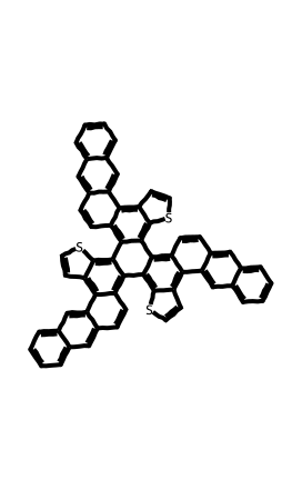 c1ccc2cc3c(ccc4c3c3ccsc3c3c4c4c5sccc5c5c6cc7ccccc7cc6ccc5c4c4c5sccc5c5c6cc7ccccc7cc6ccc5c34)cc2c1